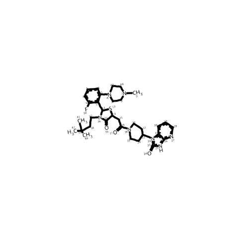 CN1CCN(c2cccc(F)c2C2SC(CC(=O)N3CCC(n4c(=O)[nH]c5ncccc54)CC3)C(=O)N2CCC(C)(C)C)CC1